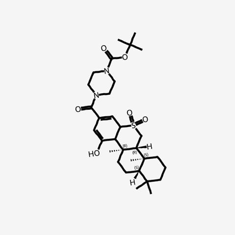 CC(C)(C)OC(=O)N1CCN(C(=O)C2=CC3C(C(O)=C2)[C@]2(C)CC[C@H]4C(C)(C)CCC[C@]4(C)[C@H]2CS3(=O)=O)CC1